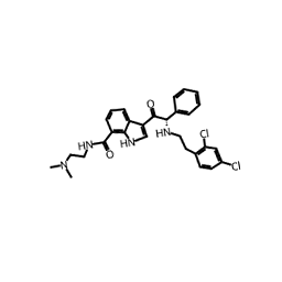 CN(C)CCNC(=O)c1cccc2c(C(=O)[C@@H](NCCc3ccc(Cl)cc3Cl)c3ccccc3)c[nH]c12